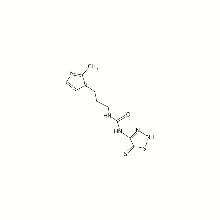 Cc1nccn1CCCNC(=O)Nc1n[nH]sc1=S